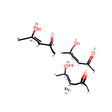 CC(=O)/C=C(/C)O.CC(=O)/C=C(/C)O.CC(=O)/C=C(/C)O.[Pr]